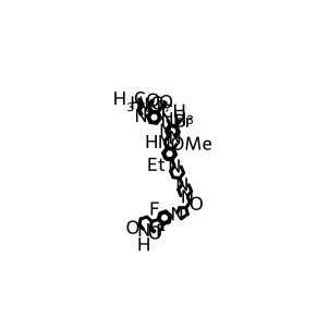 CCc1cc(Nc2ncc(Br)c(Nc3ccc4ncn(C)c(=O)c4c3P(C)(C)=O)n2)c(OC)cc1N1CCC(N2CCN(C(=O)C3CCN(c4cc(F)c(C5CCC(=O)NC5=O)c(F)c4)C3)CC2)CC1